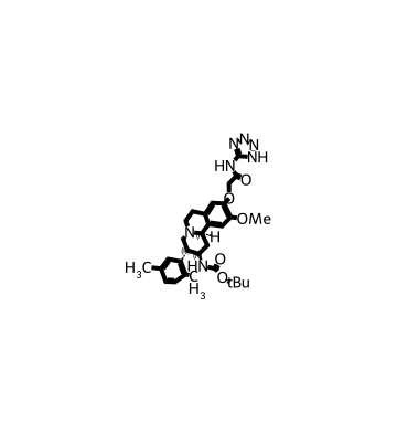 COc1cc2c(cc1OCC(=O)Nc1nnn[nH]1)CCN1C[C@@H](c3cc(C)ccc3C)[C@H](NC(=O)OC(C)(C)C)C[C@H]21